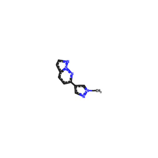 Cn1cc(-c2ccc3ccnn3n2)cn1